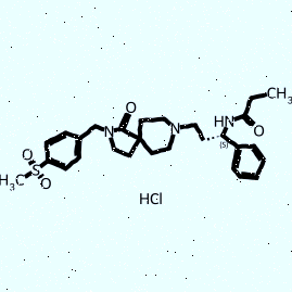 CCC(=O)N[C@@H](CCN1CCC2(CC1)CCN(Cc1ccc(S(C)(=O)=O)cc1)C2=O)c1ccccc1.Cl